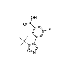 CC(C)(C)c1oncc1-c1cc(F)cc(C(=O)O)c1